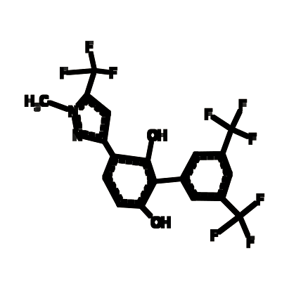 Cn1nc(-c2ccc(O)c(-c3cc(C(F)(F)F)cc(C(F)(F)F)c3)c2O)cc1C(F)(F)F